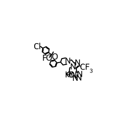 CC1(c2ccc(Cl)cc2F)Oc2cccc(C3CCN(Cc4nc(C(F)(F)F)c(-c5nnn[nH]5)n4CC4CCO4)CC3)c2O1